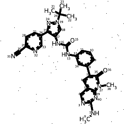 CNc1ncc2cc(-c3cccc(NC(=O)Nc4cn(C(C)(C)C)nc4-c4ccc(C#N)nc4)c3)c(=O)n(C)c2n1